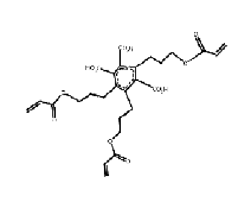 C=CC(=O)OCCCc1c(CCCOC(=O)C=C)c(C(=O)O)c(C(=O)O)c(CCCOC(=O)C=C)c1C(=O)O